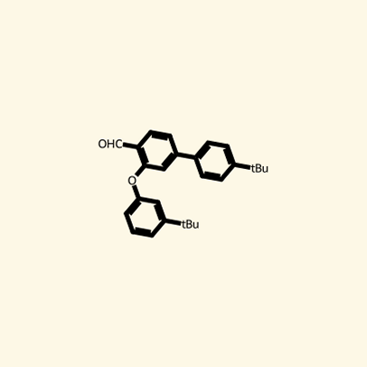 CC(C)(C)c1ccc(-c2ccc(C=O)c(Oc3cccc(C(C)(C)C)c3)c2)cc1